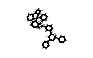 c1ccc(-c2cc(-c3ccccc3)nc(-c3cccc(-c4nc5cccc6c5n4-c4ccccc4C64c5ccccc5-c5ccccc54)c3)c2)cc1